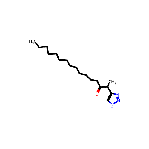 CCCCCCCCCCCCCC(=O)C(C)c1c[nH]nn1